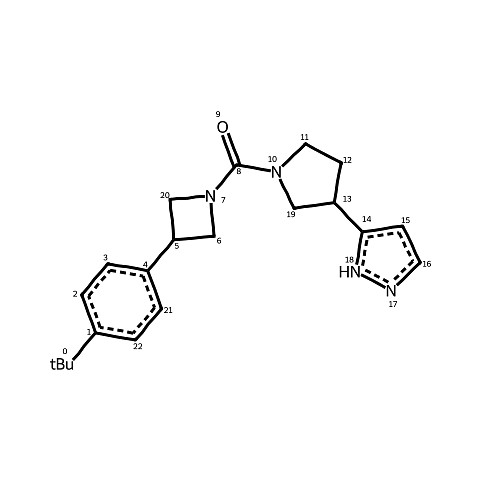 CC(C)(C)c1ccc(C2CN(C(=O)N3CCC(c4ccn[nH]4)C3)C2)cc1